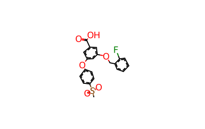 CS(=O)(=O)c1ccc(Oc2cc(OCc3ccccc3F)cc(C(=O)O)c2)cc1